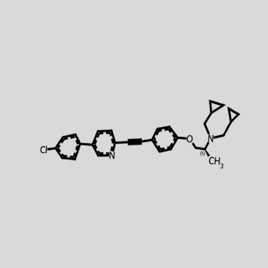 C[C@@H](COc1ccc(C#Cc2ccc(-c3ccc(Cl)cc3)cn2)cc1)N(CC1CC1)CC1CC1